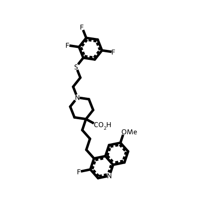 COc1ccc2ncc(F)c(CCCC3(C(=O)O)CCN(CCSc4cc(F)cc(F)c4F)CC3)c2c1